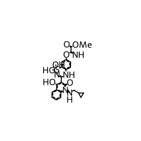 COC(=O)C(=N)Oc1ccc2c(c1)S(O)(O)N=C(c1c(O)c3ccccc3n(NCC3CC3)c1=O)N2